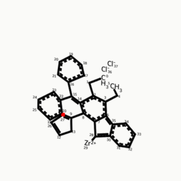 CCc1c(CC)c2c(c(C3=CC=CC3)c1=C(c1ccccc1)c1ccccc1)[C]([Zr+2])=c1ccccc1=2.[Cl-].[Cl-]